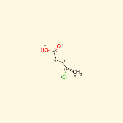 C=C(Cl)CCC(=O)O